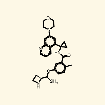 Cc1ccc(O[C@@H]([SiH3])[C@@H]2CCN2)cc1C(=O)NC1(c2cc(N3CCOCC3)cc3ncccc23)CC1